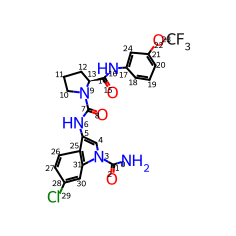 NC(=O)n1cc(NC(=O)N2CCC[C@H]2C(=O)Nc2cccc(OC(F)(F)F)c2)c2ccc(Cl)cc21